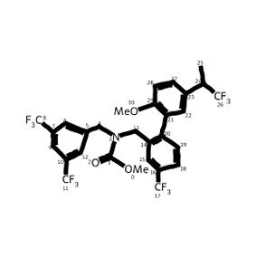 COC(=O)N(Cc1cc(C(F)(F)F)cc(C(F)(F)F)c1)Cc1cc(C(F)(F)F)ccc1-c1cc(C(C)C(F)(F)F)ccc1OC